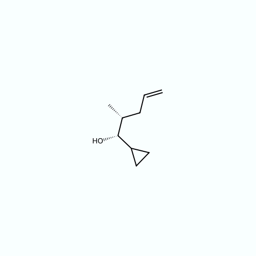 C=CC[C@@H](C)[C@@H](O)C1CC1